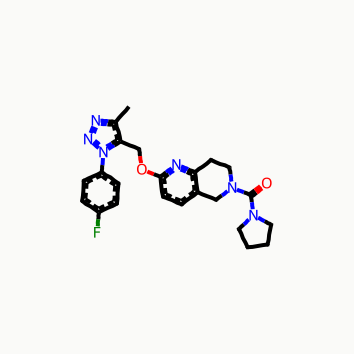 Cc1nnn(-c2ccc(F)cc2)c1COc1ccc2c(n1)CCN(C(=O)N1CCCC1)C2